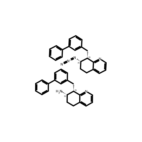 N[C@H]1CCc2cccnc2[C@H]1Cc1cccc(-c2ccccc2)c1.[N-]=[N+]=N[C@H]1CCc2cccnc2[C@H]1Cc1cccc(-c2ccccc2)c1